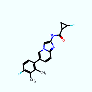 Cc1c(F)ccc(-c2ccc3nc(NC(=O)C4CC4F)cn3c2)c1C